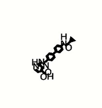 O=C(O)c1ccnc2[nH]c(-c3ccc(-c4ccc(NC(=O)C5CC5)cc4)cc3)nc12